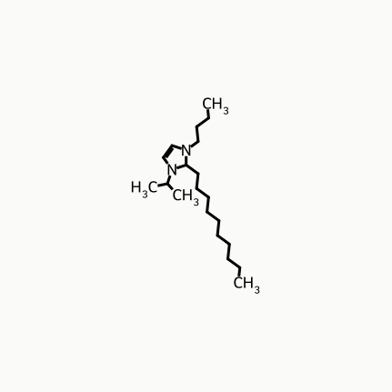 CCCCCCCCCCC1N(CCCC)C=CN1C(C)C